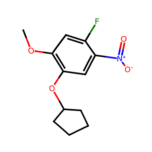 COc1cc(F)c([N+](=O)[O-])cc1OC1CCCC1